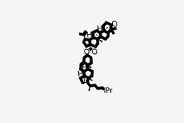 C=C(C)[C@@H]1CC[C@]2(C(=O)O[C@H]3CC[C@@]4(C)C(=CC[C@H]5[C@@H]6CC[C@H]([C@H](C)CCCC(C)C)[C@@]6(C)CC[C@@H]54)C3)CC[C@]3(C)[C@H](CC[C@@H]4[C@@]5(C)CCC(=O)C(C)(C)C5CC[C@]43C)C12